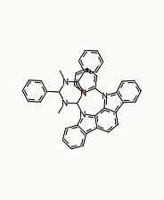 CN1C(c2ccccc2)=NC(n2c3ccccc3c3ccc4c5ccccc5n(-c5ccccc5)c4c32)N(C)C1c1ccccc1